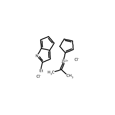 CCC1=NC2=CC=CC2=C1.C[C](C)=[Zr+2][C]1=CC=CC1.[Cl-].[Cl-]